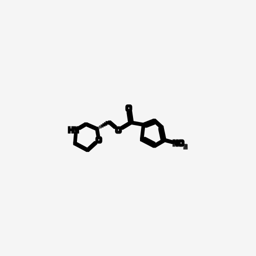 O=C(OC[C@H]1CNCCO1)c1ccc([N+](=O)[O-])cc1